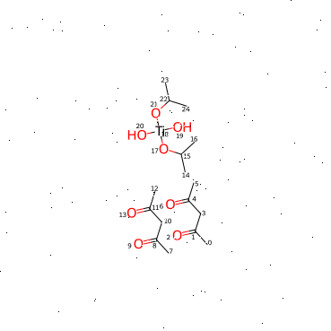 CC(=O)CC(C)=O.CC(=O)CC(C)=O.CC(C)[O][Ti]([OH])([OH])[O]C(C)C